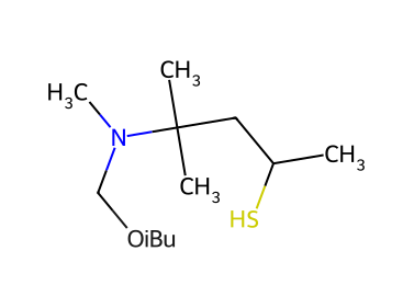 CC(C)COCN(C)C(C)(C)CC(C)S